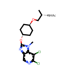 CC(=O)N[C@@H](C)CO[C@H]1CC[C@H](Oc2nc3cnc(Cl)c(Cl)c3n2C)CC1